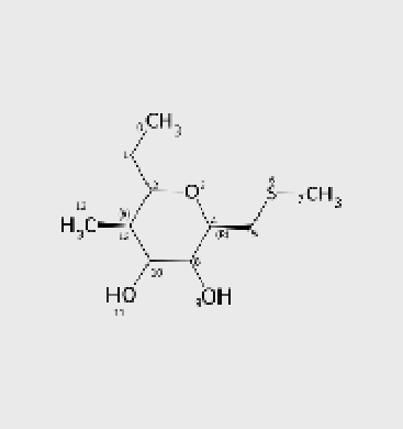 CCC1O[C@@H](CSC)C(O)C(O)[C@H]1C